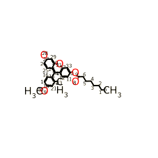 CCCCCCCC(=O)Oc1ccc2c(-c3ccc(OC)cc3C)c3ccc(=O)cc-3oc2c1